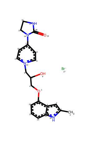 Cc1cc2c(OCC(O)C[n+]3ccc(N4CCNC4=O)cc3)cccc2[nH]1.[Br-]